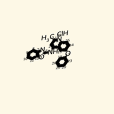 Cc1cc(Nc2nc3ccccc3o2)c2cc(Oc3ccccc3)ccc2n1.Cl